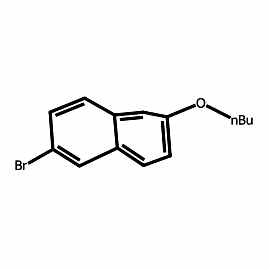 CCCCOc1ccc2cc(Br)ccc2c1